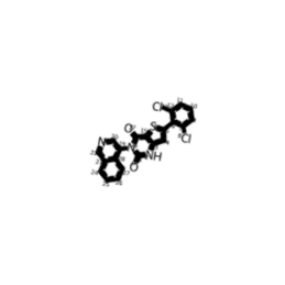 O=c1[nH]c2cc(-c3c(Cl)cccc3Cl)sc2c(=O)n1-c1cncc2ccccc12